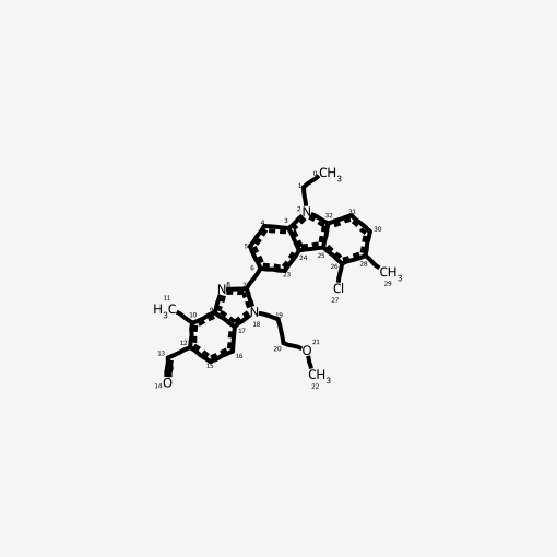 CCn1c2ccc(-c3nc4c(C)c(C=O)ccc4n3CCOC)cc2c2c(Cl)c(C)ccc21